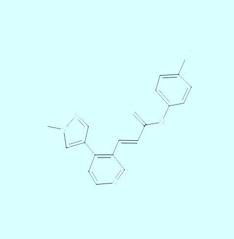 Cn1cc(-c2ccncc2/C=C/C(=O)Nc2ccc(C=O)cc2)cn1